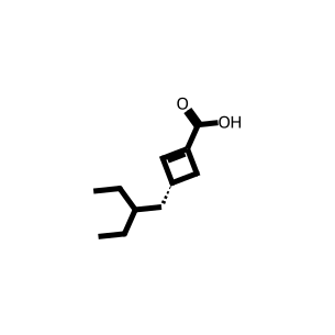 CCC(CC)C[C@@H]1C=C(C(=O)O)C1